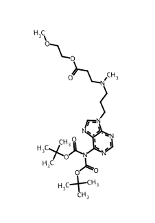 COCCOC(=O)CCN(C)CCCn1cnc2c(N(C(=O)OC(C)(C)C)C(=O)OC(C)(C)C)ncnc21